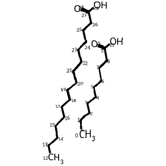 CCCCCCCCCC(=O)O.CCCCCCCCCCCCCCCC(=O)O